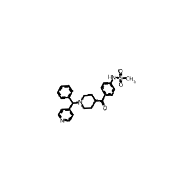 CS(=O)(=O)Nc1ccc(C(=O)C2CCN(C(c3ccccc3)c3ccncc3)CC2)cc1